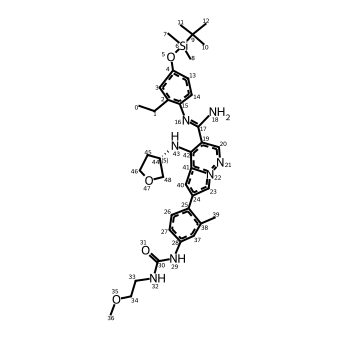 CCc1cc(O[Si](C)(C)C(C)(C)C)ccc1N=C(N)c1cnn2cc(-c3ccc(NC(=O)NCCOC)cc3C)cc2c1N[C@H]1CCOC1